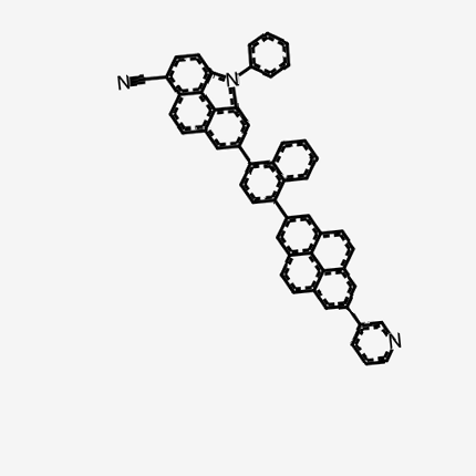 N#Cc1ccc2c3c1ccc1cc(-c4ccc(-c5cc6ccc7cc(-c8cccnc8)cc8ccc(c5)c6c78)c5ccccc45)cc(c13)n2-c1ccccc1